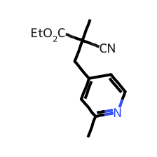 CCOC(=O)C(C)(C#N)Cc1ccnc(C)c1